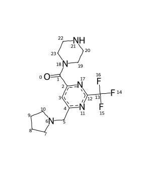 O=C(c1cc(CN2CCCC2)nc(C(F)(F)F)n1)N1CCNCC1